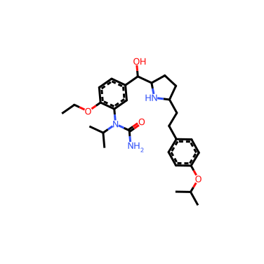 CCOc1ccc(C(O)C2CCC(CCc3ccc(OC(C)C)cc3)N2)cc1N(C(N)=O)C(C)C